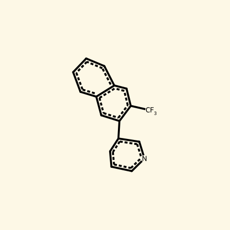 FC(F)(F)c1cc2ccccc2cc1-c1cccnc1